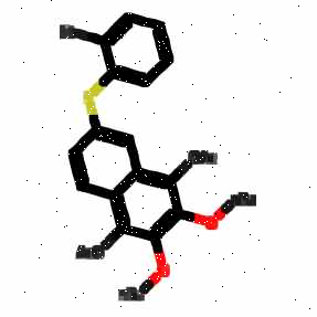 CCCCOc1c(OCCCC)c(OC(C)=O)c2cc(Sc3ccccc3CC)ccc2c1OC(C)=O